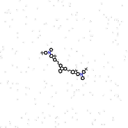 CC(C)(C)c1ccc(N(c2ccccc2)c2ccc3c(c2)C(C)(C)c2cc(/C=C/c4ccc5c6ccc(/C=C/c7ccc8c(c7)C(C)(C)c7cc(N(c9ccccc9)c9ccc(C(C)(C)C)cc9)ccc7-8)cc6c6ccccc6c5c4)ccc2-3)cc1